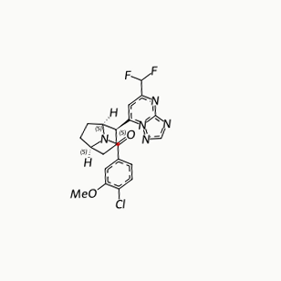 COc1cc(C(=O)N2[C@H]3CC[C@H](c4cc(C(F)F)nc5ncnn45)[C@@H]2CC3)ccc1Cl